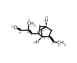 C/C=C1\C[C@H]2CC(/C=C(\C)C=O)[C@@H]1C2